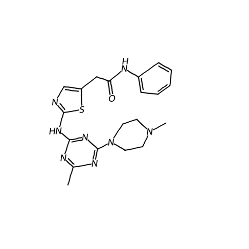 Cc1nc(Nc2ncc(CC(=O)Nc3ccccc3)s2)nc(N2CCN(C)CC2)n1